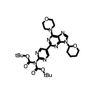 CC(C)(C)OC(=O)N(C(=O)OC(C)(C)C)c1ncc(-c2nc(N3CCOCC3)c3ncn(C4CCCCO4)c3n2)cn1